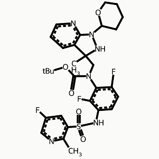 Cc1ncc(F)cc1S(=O)(=O)Nc1ccc(F)c(N(CC2(C)NN(C3CCCCO3)c3ncccc32)C(=O)OC(C)(C)C)c1F